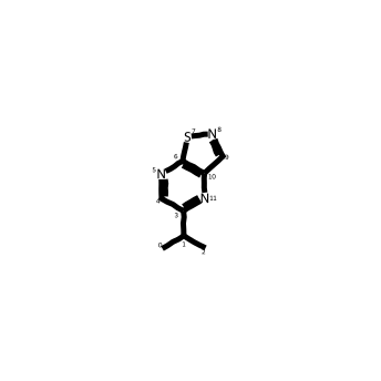 CC(C)c1cnc2sncc2n1